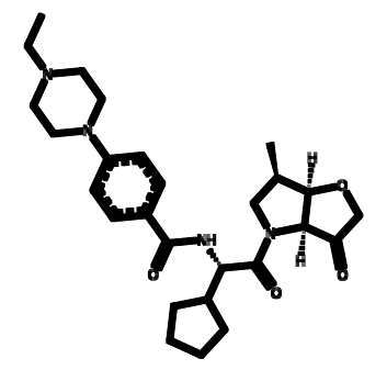 CCN1CCN(c2ccc(C(=O)N[C@H](C(=O)N3C[C@@H](C)[C@H]4OCC(=O)[C@H]43)C3CCCC3)cc2)CC1